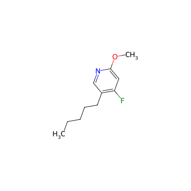 CCCCCc1cnc(OC)cc1F